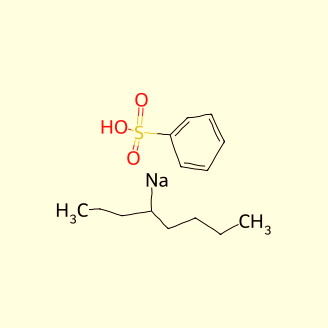 CCCC[CH]([Na])CCC.O=S(=O)(O)c1ccccc1